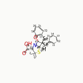 CC1(C)S[C@H]2N(C(=O)C2([Se]c2ccccc2)[Se]c2ccccc2)[C@H]1C(=O)O